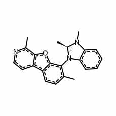 Cc1ccc2c(oc3c(C)nccc32)c1N1c2ccccc2N(C)[C@@H]1C